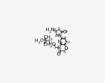 C[Si](C)(C)CCOCN1C(=O)COc2ccc(N3C[C@H](N)CC3=O)nc21